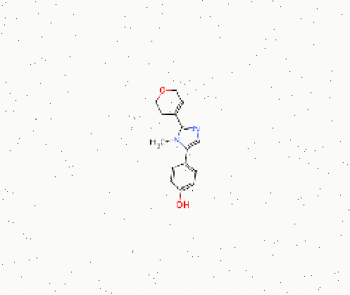 Cn1c(-c2ccc(O)cc2)cnc1C1=CCOCC1